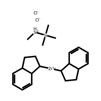 C1=CC2CC[CH]([Zr+2][CH]3CCC4C=CC=CC43)C2C=C1.C[SiH2][Si](C)(C)C.[Cl-].[Cl-]